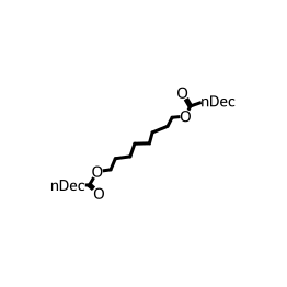 CCCCCCCCCCC(=O)OCCCCCCCCOC(=O)CCCCCCCCCC